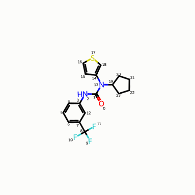 O=C(Nc1cccc(C(F)(F)F)c1)N(c1ccsc1)C1CCCC1